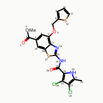 COC(=O)c1cc(OCc2cccs2)c2nc(NC(=O)c3[nH]c(C)c(Cl)c3Cl)sc2c1